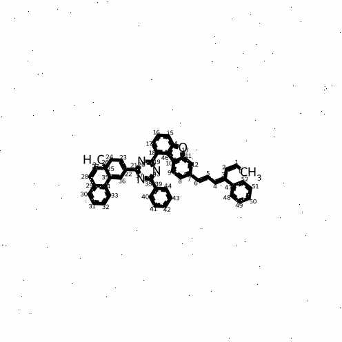 C\C=C/C(=C\C=C\c1ccc2c(c1)oc1cccc(-c3nc(C4=CCC5(C)C=Cc6ccccc6C5=C4)nc(-c4ccccc4)n3)c12)c1ccccc1